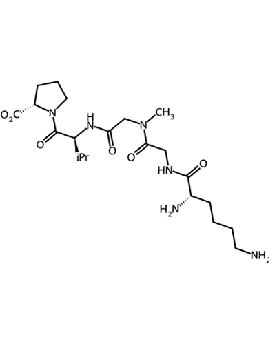 CC(C)[C@H](NC(=O)CN(C)C(=O)CNC(=O)[C@@H](N)CCCCN)C(=O)N1CCC[C@H]1C(=O)O